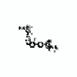 CC(C)(C)OC(=O)N1CC=C(c2ccc3cnn(COCC[Si](C)(C)C)c3c2F)CC1